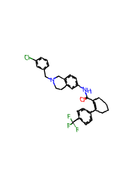 O=C(Nc1ccc2c(c1)CCN(Cc1cccc(Cl)c1)C2)C1=C(c2ccc(C(F)(F)F)cc2)CCCC1